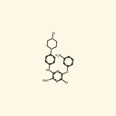 CCc1nc(C=O)c(Nc2ccc(N3CCN(CC)CC3)cc2)nc1Oc1cccc(N)c1